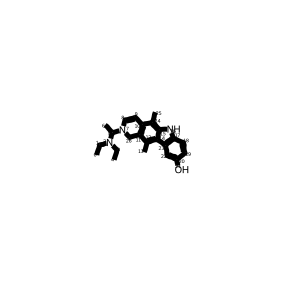 CCN(CC)C(C)N1C=Cc2c(c(C)c3c([nH]c4ccc(O)cc43)c2C)C1